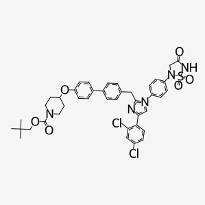 CC(C)(C)COC(=O)N1CCC(Oc2ccc(-c3ccc(Cc4nc(-c5ccc(Cl)cc5Cl)cn4-c4ccc(N5CC(=O)NS5(=O)=O)cc4)cc3)cc2)CC1